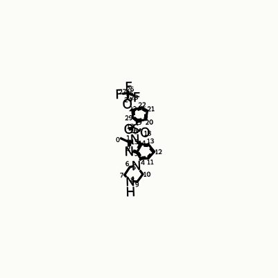 Cc1nc2c(N3CCNCC3)cccc2n1S(=O)(=O)c1cccc(OC(F)(F)F)c1